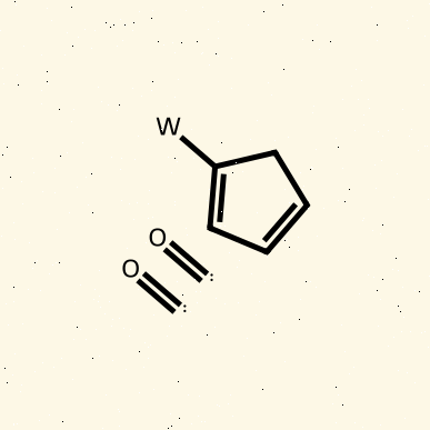 [C]=O.[C]=O.[W][C]1=CC=CC1